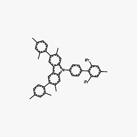 Cc1ccc(-c2cc3c4cc(-c5ccc(C)cc5C)c(C)cc4n(-c4ccc(-c5c(C(C)C)cc(C)cc5C(C)C)cc4)c3cc2C)c(C)c1